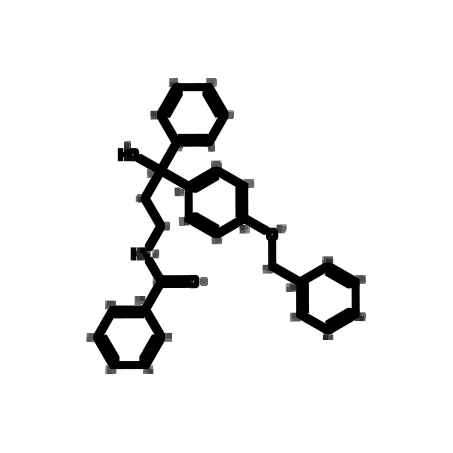 O=C(NCCC(O)(c1ccccc1)c1ccc(OCc2ccccc2)cc1)c1ccccc1